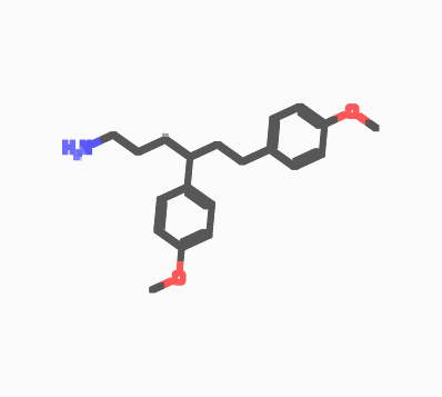 COc1ccc(CCC([CH]CCN)c2ccc(OC)cc2)cc1